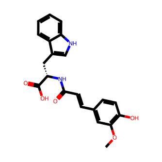 COc1cc(/C=C/C(=O)N[C@@H](Cc2c[nH]c3ccccc23)C(=O)O)ccc1O